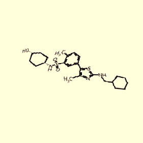 Cc1ccc(-c2sc(NCC3CCCCC3)nc2C)cc1S(=O)(=O)N[C@H]1CC[C@@H](O)CC1